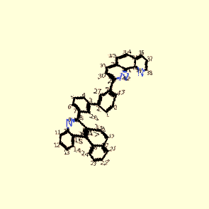 c1cc(-c2cccc(-c3nc4ccccc4c4c3ccc3ccccc34)c2)cc(-c2ccc3ccc4cccnc4c3n2)c1